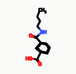 CCCCNC(=O)c1cccc(C(=O)O)c1